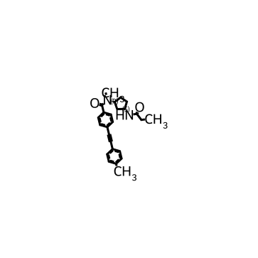 CCC(=O)N[C@H]1CC[C@@H](N(C)C(=O)c2ccc(C#Cc3ccc(C)cc3)cc2)C1